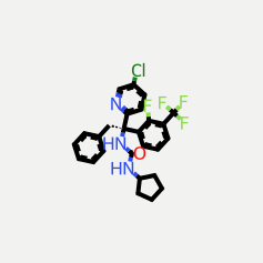 O=C(NC1CCCC1)N[C@@](Cc1ccccc1)(c1ccc(Cl)cn1)c1cccc(C(F)(F)F)c1F